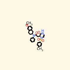 COc1ccc2c(c1)CC[C@@H](N(C(=O)CC1C(=O)NC=CN1S(=O)(=O)c1ccc(C)cc1)c1ccccc1)C2